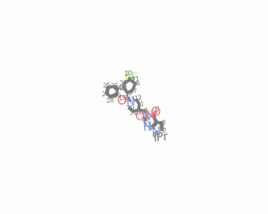 CC(C)n1ccc2c(=O)n(CC3(O)CCN(C(=O)[C@@H]4CCC(F)(F)C[C@H]4c4ccccc4)CC3)cnc21